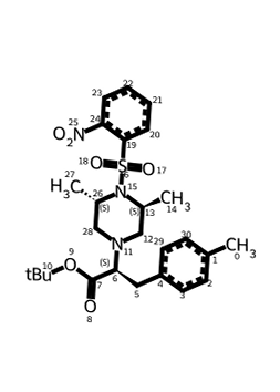 Cc1ccc(C[C@@H](C(=O)OC(C)(C)C)N2C[C@H](C)N(S(=O)(=O)c3ccccc3[N+](=O)[O-])[C@@H](C)C2)cc1